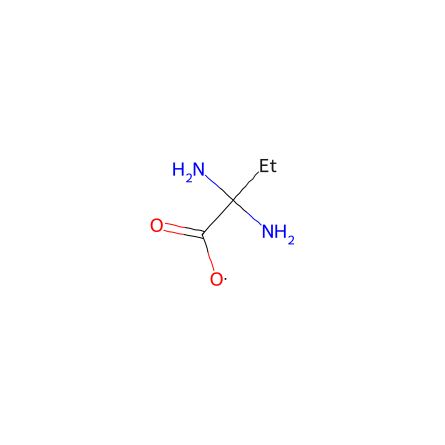 CCC(N)(N)C([O])=O